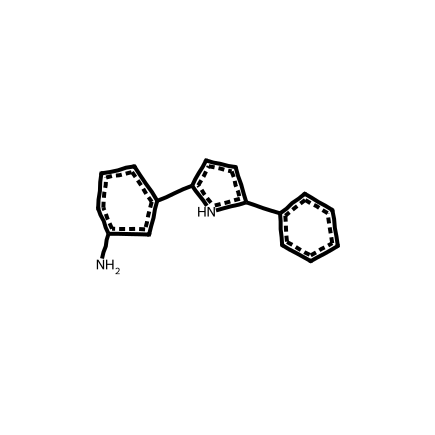 Nc1cccc(-c2ccc(-c3ccccc3)[nH]2)c1